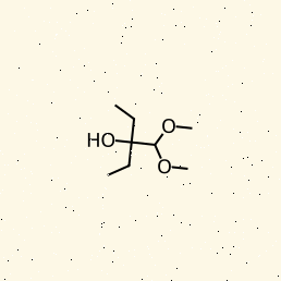 CCC(O)(CC)C(OC)OC